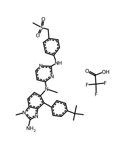 CN(c1ccnc(Nc2ccc(CS(C)(=O)=O)cc2)n1)c1ccc2c(nc(N)n2C)c1-c1ccc(C(C)(C)C)cc1.O=C(O)C(F)(F)F